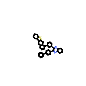 c1ccc(-c2ccc(-c3nc4ccccc4nc3-c3cccc(-c4cccc5cc6c(cc45)sc4ccccc46)c3)cc2)cc1